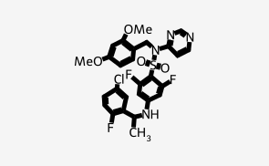 COc1ccc(CN(c2ccncn2)S(=O)(=O)c2c(F)cc(NC(C)c3cc(Cl)ccc3F)cc2F)c(OC)c1